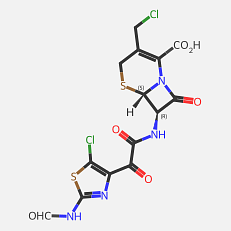 O=CNc1nc(C(=O)C(=O)N[C@@H]2C(=O)N3C(C(=O)O)=C(CCl)CS[C@@H]23)c(Cl)s1